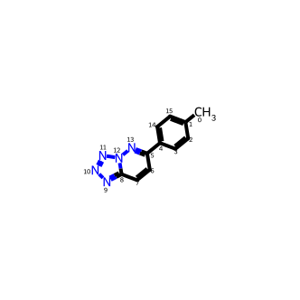 Cc1ccc(-c2ccc3nnnn3n2)cc1